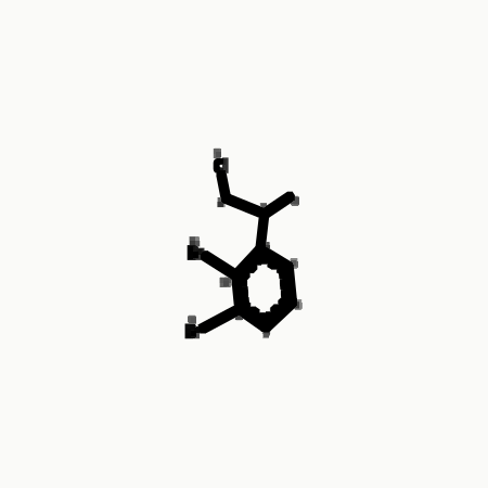 CC(CCl)c1cccc(Br)c1Br